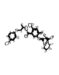 CC(CSc1ccc(Cl)cc1)OC(=O)c1cc(N=c2sc(=O)n3n2CCCC3)c(F)cc1Cl